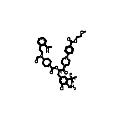 CNc1ccccc1CCN(C=O)C1CCN(C(=O)O[C@H](Cc2cc(Cl)c(N)c(C(F)(F)F)c2)C(=O)N2CCN(c3ccc(C(=O)OCCOC)cc3)CC2)CC1